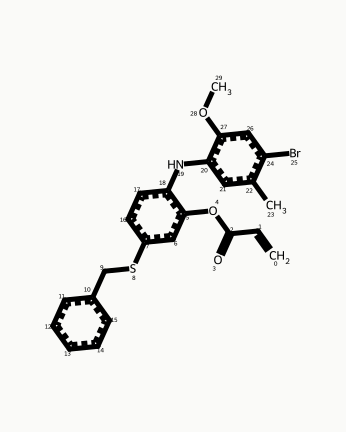 C=CC(=O)Oc1cc(SCc2ccccc2)ccc1Nc1cc(C)c(Br)cc1OC